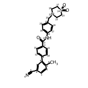 Cc1ccc(C#N)cc1-c1ccc(C(=O)Nc2ccc(CN3CCS(=O)(=O)CC3)cc2)cc1